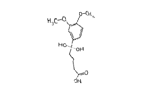 COc1ccc(C(O)(O)CCCC(=O)O)cc1OC